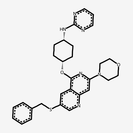 c1ccc(CSc2cnc3cc(N4CCOCC4)nc(O[C@H]4CC[C@@H](Nc5ncccn5)CC4)c3c2)cc1